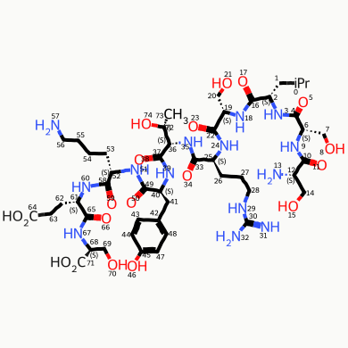 CC(C)C[C@H](NC(=O)[C@H](CO)NC(=O)[C@@H](N)CO)C(=O)N[C@@H](CO)C(=O)N[C@@H](CCCNC(=N)N)C(=O)N[C@H](C(=O)N[C@@H](Cc1ccc(O)cc1)C(=O)N[C@@H](CCCCN)C(=O)N[C@@H](CCC(=O)O)C(=O)N[C@@H](CO)C(=O)O)[C@@H](C)O